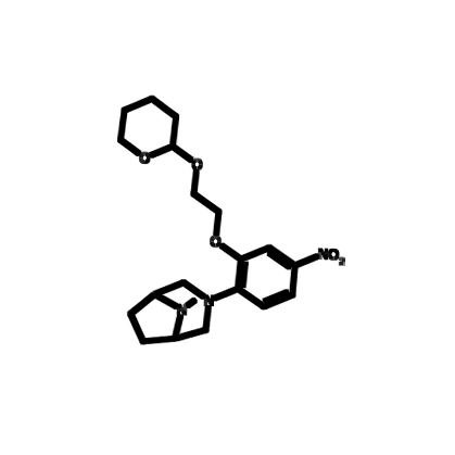 CN1C2CCC1CN(c1ccc([N+](=O)[O-])cc1OCCOC1CCCCO1)C2